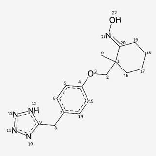 CC1(COc2ccc(Cc3nnn[nH]3)cc2)CCCC/C1=N\O